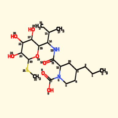 CCCC1CCN(C(=O)O)C(C(=O)NC(C(C)C)C2OC(SC)C(O)C(O)C2O)C1